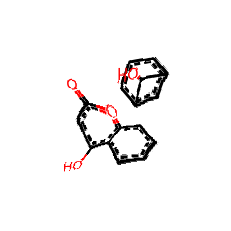 O=c1cc(O)c2ccccc2o1.OC1c2cccc1c2